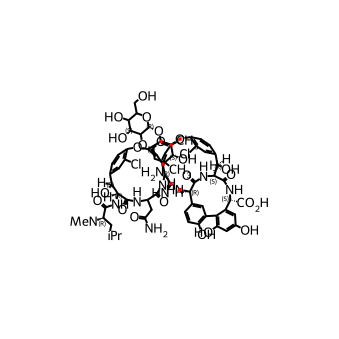 CN[C@H](CC(C)C)C(=O)N[C@H]1C(=O)NC(CC(N)=O)C(=O)N[C@H]2C(=N)N[C@H]3C(=O)N[C@H](C(=O)N[C@H](C(=O)O)c4cc(O)cc(O)c4-c4cc3ccc4O)[C@H](O)c3ccc(c(Cl)c3)Oc3cc2cc(c3O[C@H]2OC(CO)C(O)[C@H](O)C2O[C@H]2CC(C)(N)[C@H](O)C(C)O2)Oc2ccc(cc2Cl)[C@H]1O